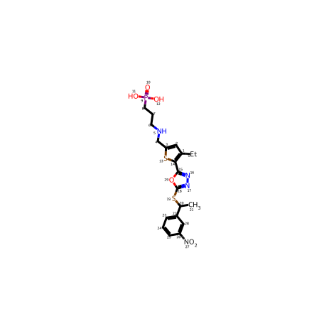 CCc1cc(CNCCCP(=O)(O)O)sc1-c1nnc(SC(C)c2cccc([N+](=O)[O-])c2)o1